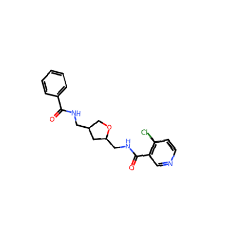 O=C(NCC1COC(CNC(=O)c2cnccc2Cl)C1)c1ccccc1